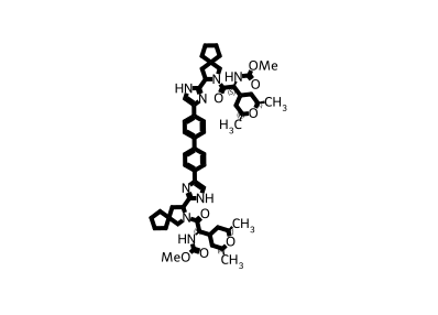 COC(=O)N[C@H](C(=O)N1CC2(CCCC2)CC1c1nc(-c2ccc(-c3ccc(-c4c[nH]c(C5CC6(CCCC6)CN5C(=O)[C@@H](NC(=O)OC)C5C[C@@H](C)O[C@H](C)C5)n4)cc3)cc2)c[nH]1)C1C[C@@H](C)O[C@H](C)C1